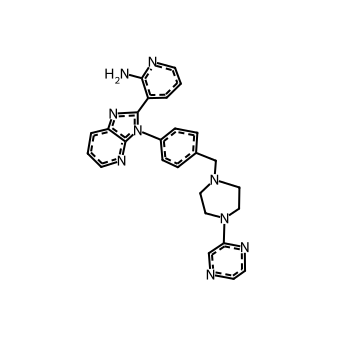 Nc1ncccc1-c1nc2cccnc2n1-c1ccc(CN2CCN(c3cnccn3)CC2)cc1